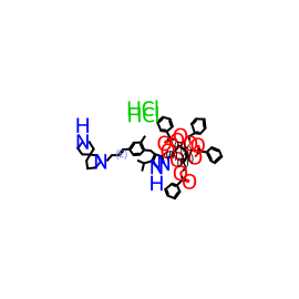 Cc1cc(/C=C/CCN2CCCC3(CCNCC3)C2)ccc1Cc1c(O[C@H]2O[C@H](COC(=O)c3ccccc3)[C@@H](OC(=O)c3ccccc3)[C@H](OC(=O)c3ccccc3)[C@H]2OC(=O)c2ccccc2)n[nH]c1C(C)C.Cl.Cl